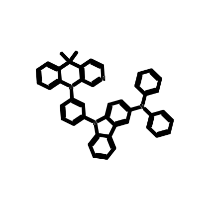 CC1(C)c2ccccc2N(c2cccc(-n3c4ccccc4c4cc(N(c5ccccc5)c5ccccc5)ccc43)c2)c2cnccc21